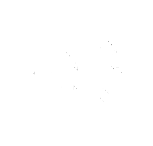 CCn1ncc(CN(C)C(=O)c2nc(-c3cc4c(N)n[nH]c4cc3C)nc3ccc(Br)cc23)c1C